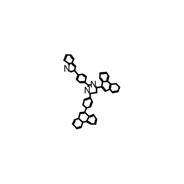 C1=CC2C=C(C3C=CC(C4CC(c5cc6c(c7ccccc57)CCC=C6)=NC(c5ccc(C6C=c7ccccc7=NC6)cc5)=N4)=CC3)c3ccccc3C2C=C1